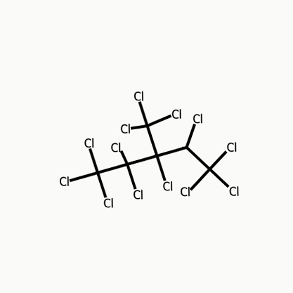 Cl[C](C(Cl)(Cl)Cl)C(Cl)(C(Cl)(Cl)Cl)C(Cl)(Cl)C(Cl)(Cl)Cl